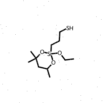 CCO[Si]1(CCCS)OC(C)CC(C)(C)O1